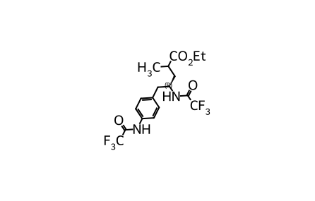 CCOC(=O)C(C)C[C@H](Cc1ccc(NC(=O)C(F)(F)F)cc1)NC(=O)C(F)(F)F